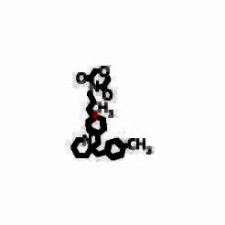 Cc1ccc(CC2(Cc3ccc(C)cc3)CCCCN2CCCCCCN2C(=O)COCC2=O)cc1